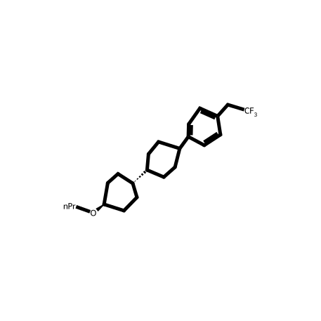 CCCO[C@H]1CC[C@H](C2CCC(c3ccc(CC(F)(F)F)cc3)CC2)CC1